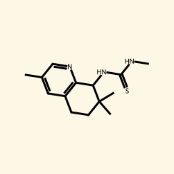 CNC(=S)NC1c2ncc(C)cc2CCC1(C)C